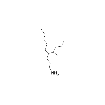 CCCCCC(CCCN)C(C)CCC